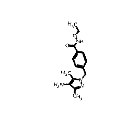 CCONC(=O)c1ccc(Cn2nc(C)c(N)c2C)cc1